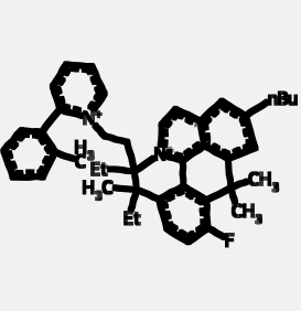 CCCCc1cc2c3c4[n+](ccc3c1)C(CC)(CC[n+]1ccccc1-c1ccccc1C)C(C)(CC)c1ccc(F)c(c1-4)C2(C)C